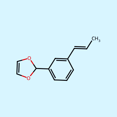 CC=Cc1cccc(C2OC=CO2)c1